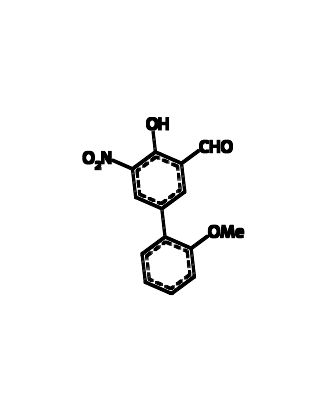 COc1ccccc1-c1cc(C=O)c(O)c([N+](=O)[O-])c1